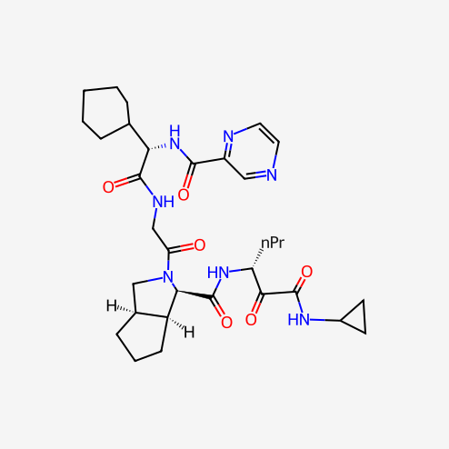 CCC[C@@H](NC(=O)[C@H]1[C@H]2CCC[C@H]2CN1C(=O)CNC(=O)[C@@H](NC(=O)c1cnccn1)C1CCCCC1)C(=O)C(=O)NC1CC1